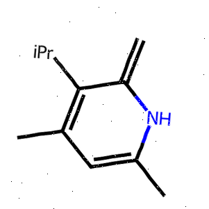 C=C1NC(C)=CC(C)=C1C(C)C